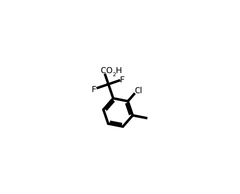 Cc1cccc(C(F)(F)C(=O)O)c1Cl